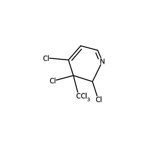 ClC1=CC=NC(Cl)C1(Cl)C(Cl)(Cl)Cl